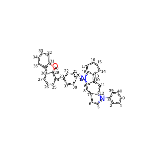 c1ccc(-n2ccc3cc4c(cc32)c2ccccc2n4-c2ccc(-c3cccc4c3oc3ccccc34)cc2)cc1